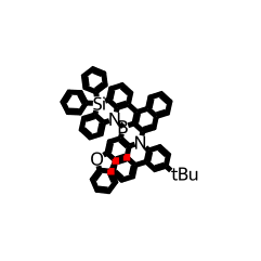 CC(C)(C)c1ccc(N2c3cc4c(cc3B3c5c2cc2ccccc2c5-c2cccc5c2N3c2ccccc2[Si]5(c2ccccc2)c2ccccc2)oc2ccccc24)c(-c2ccccc2)c1